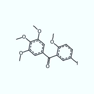 COc1ccc(I)cc1C(=O)c1cc(OC)c(OC)c(OC)c1